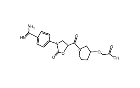 N=C(N)c1ccc(N2CC(C(=O)N3CCCC(OCC(=O)O)C3)OC2=O)cc1